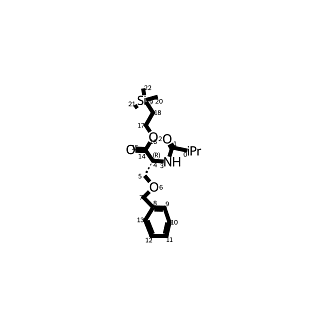 CC(C)C(=O)N[C@H](COCc1ccccc1)C(=O)OCC[Si](C)(C)C